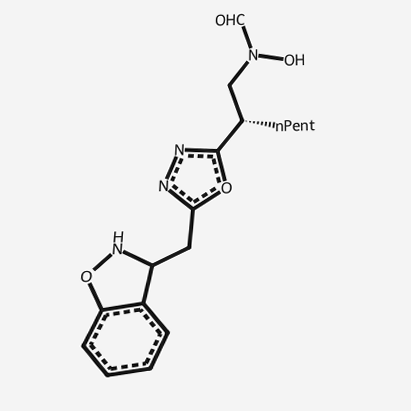 CCCCC[C@@H](CN(O)C=O)c1nnc(CC2NOc3ccccc32)o1